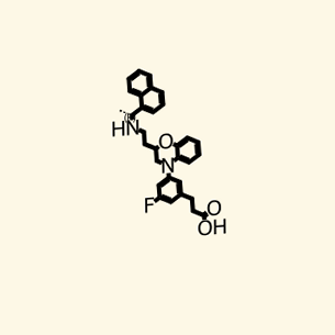 C[C@@H](NCCC1CN(c2cc(F)cc(CCC(=O)O)c2)c2ccccc2O1)c1cccc2ccccc12